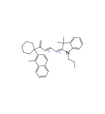 C=C(/C=C/C=C1/N(CCC)c2ccccc2C1(C)C)C1(c2ccc3ccccc3c2C)CCCCC1